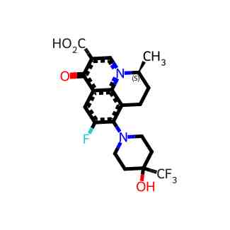 C[C@H]1CCc2c(N3CCC(O)(C(F)(F)F)CC3)c(F)cc3c(=O)c(C(=O)O)cn1c23